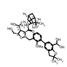 COc1c(CN2O[C@@H](CO)[C@@H]([C@H](C)O)[C@H]2C(=O)N[C@H]2C[C@H]3C[C@@H]([C@@H]2C)C3(C)C)cccc1-c1cc2c(c(C(O)O)c1)OC(C)(C)C2